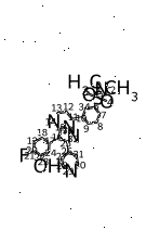 CN(C)S(=O)(=O)c1cccc(-c2ccnc3c(-c4ccc(F)c(O)c4)c(-c4ccncc4)nn23)c1